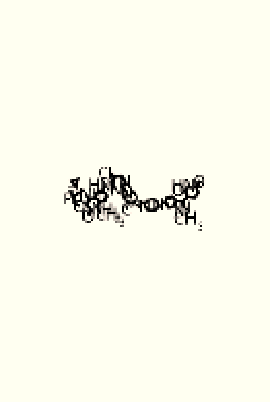 C[C@H]1CN(c2ncc(Cl)c(Nc3ccc4c(c3)c3c(c(=O)n4C)OCC(F)(F)[C@H](C4CC4)N3)n2)CC[C@H]1CN1CCN(c2ccc3c(C4CCC(=O)NC4=O)nn(C)c3c2)CC1